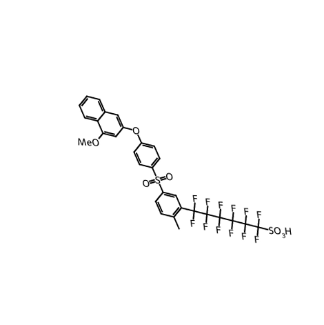 COc1cc(Oc2ccc(S(=O)(=O)c3ccc(C)c(C(F)(F)C(F)(F)C(F)(F)C(F)(F)C(F)(F)C(F)(F)S(=O)(=O)O)c3)cc2)cc2ccccc12